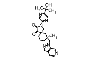 CC(C)(O)c1cnc(N2C[C@@]3(CCC[C@](C)(Cn4ncc5ccncc54)C3)C(=O)C2=O)cn1